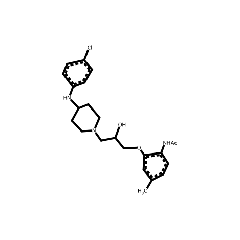 CC(=O)Nc1ccc(C)cc1OCC(O)CN1CCC(Nc2ccc(Cl)cc2)CC1